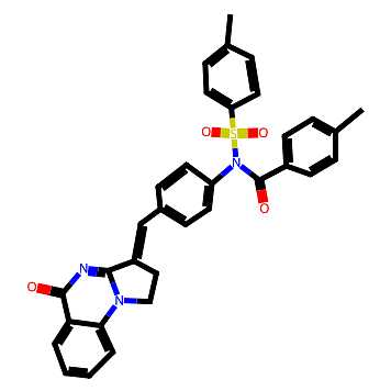 Cc1ccc(C(=O)N(c2ccc(C=C3CCn4c3nc(=O)c3ccccc34)cc2)S(=O)(=O)c2ccc(C)cc2)cc1